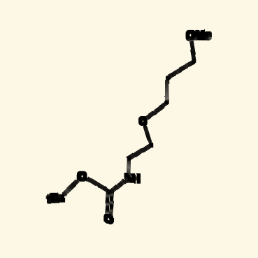 COCCCOCCNC(=O)OC(C)(C)C